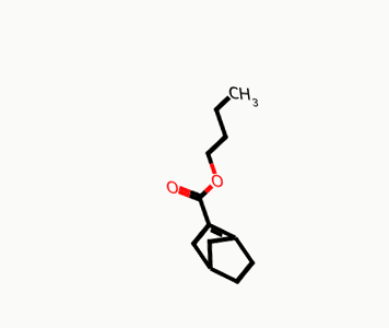 CCCCOC(=O)C1=C2CCC(C2)C1